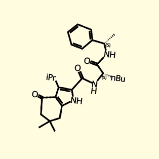 CCCC[C@H](NC(=O)c1[nH]c2c(c1C(C)C)C(=O)CC(C)(C)C2)C(=O)N[C@@H](C)c1ccccc1